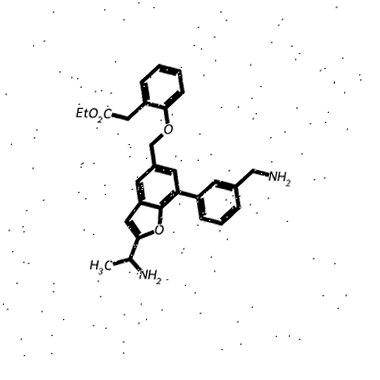 CCOC(=O)Cc1ccccc1OCc1cc(-c2cccc(CN)c2)c2oc(C(C)N)cc2c1